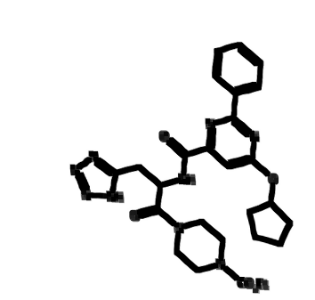 CCOC(=O)N1CCN(C(=O)C(Cc2nnn[nH]2)NC(=O)c2cc(OC3CCCC3)nc(-c3ccccc3)n2)CC1